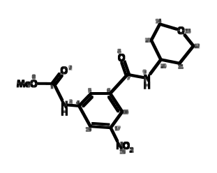 COC(=O)Nc1cc(C(=O)NC2CCOCC2)cc([N+](=O)[O-])c1